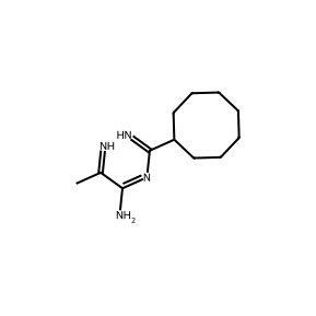 CC(=N)/C(N)=N\C(=N)C1CCCCCCC1